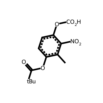 Cc1c(OC(=O)C(C)(C)C)ccc(OC(=O)O)c1[N+](=O)[O-]